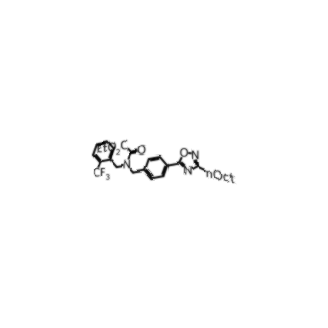 CCCCCCCCc1noc(-c2ccc(CN(Cc3ccccc3C(F)(F)F)C(=O)C(=O)OCC)cc2)n1